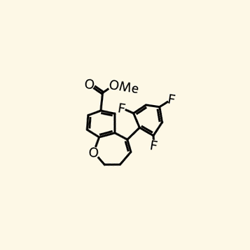 COC(=O)c1ccc2c(c1)C(c1c(F)cc(F)cc1F)=CCCO2